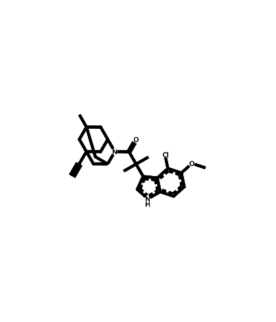 C#CC12CC3CC(C)(CC(C1)N3C(=O)C(C)(C)c1c[nH]c3ccc(OC)c(Cl)c13)C2